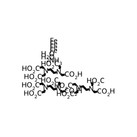 N.O.O.O=C(O)CN(CCN(CC(=O)O)CC(=O)O)CC(=O)O.O=C(O)CN(CCN(CC(=O)O)CC(=O)O)CC(=O)O.O=C(O)CN(CCN(CC(=O)O)CC(=O)O)CC(=O)O.[Fe].[Fe].[Fe].[Fe]